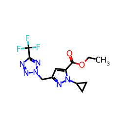 CCOC(=O)c1cc(Cn2nnc(C(F)(F)F)n2)nn1C1CC1